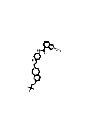 Cn1cc2c(C(=O)N[C@H]3CC[C@](F)(CCN4CCc5ccc(OCC(F)(F)F)nc5CC4)CC3)cccc2n1